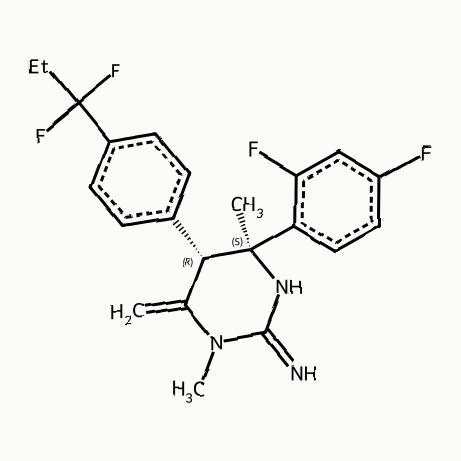 C=C1[C@H](c2ccc(C(F)(F)CC)cc2)[C@@](C)(c2ccc(F)cc2F)NC(=N)N1C